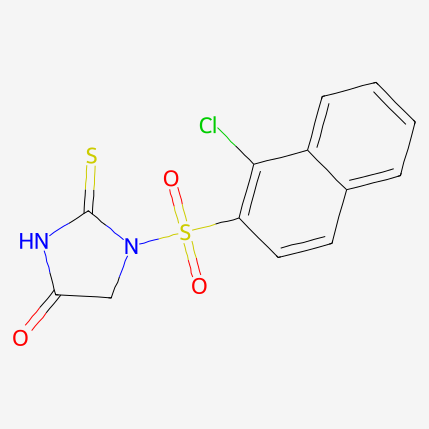 O=C1CN(S(=O)(=O)c2ccc3ccccc3c2Cl)C(=S)N1